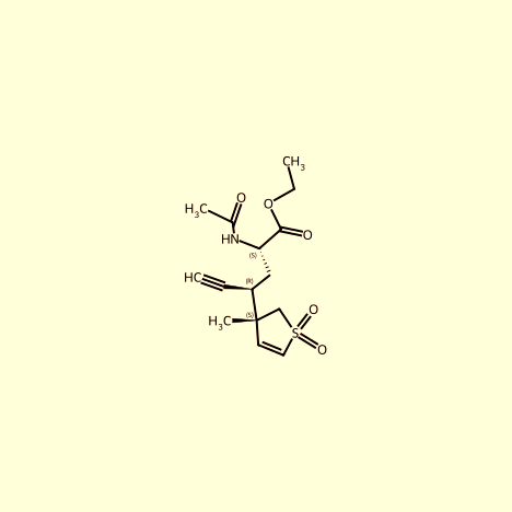 C#C[C@@H](C[C@H](NC(C)=O)C(=O)OCC)[C@@]1(C)C=CS(=O)(=O)C1